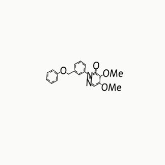 COc1cnn(-c2cccc(COc3ccccc3)c2)c(=O)c1OC